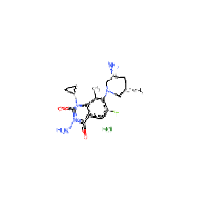 Cc1c(N2C[C@@H](C)C[C@H](N)C2)c(F)cc2c(=O)n(N)c(=O)n(C3CC3)c12.Cl